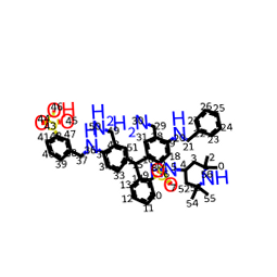 CC1(C)CC(NS(=O)(=O)c2ccccc2C(c2ccc(NCc3ccccc3)c(CN)c2)c2ccc(NCc3cccc(S(=O)(=O)O)c3)c(CN)c2)CC(C)(C)N1